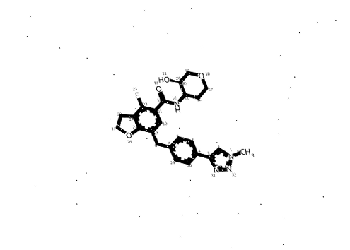 Cn1cc(-c2ccc(Cc3cc(C(=O)NC4CCOC[C@@H]4O)c(F)c4c3OCC4)cc2)nn1